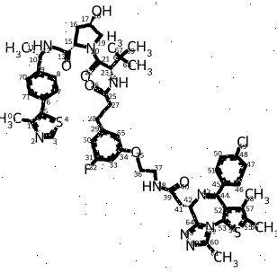 Cc1ncsc1-c1ccc([C@H](C)NC(=O)[C@@H]2C[C@@H](O)CN2C(=O)[C@@H](NC(=O)CCc2cc(F)cc(OCCNC(=O)C[C@@H]3N=C(c4ccc(Cl)cc4)c4c(sc(C)c4C)-n4c(C)nnc43)c2)C(C)(C)C)cc1